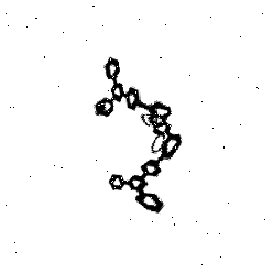 c1ccc(-c2cc(-c3ccccc3)cc(-c3ccc(-c4cccc5c4oc4cc6oc7c(-c8ccc(-c9cc(-c%10ccccc%10)cc(-c%10ccccc%10)c9)cc8)cccc7c6cc45)cc3)c2)cc1